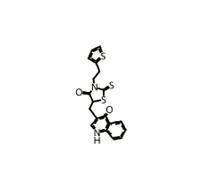 O=C1C(Cc2c[nH]c3ccccc3c2=O)SC(=S)N1CCc1cccs1